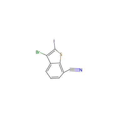 N#Cc1cccc2c(Br)c(I)sc12